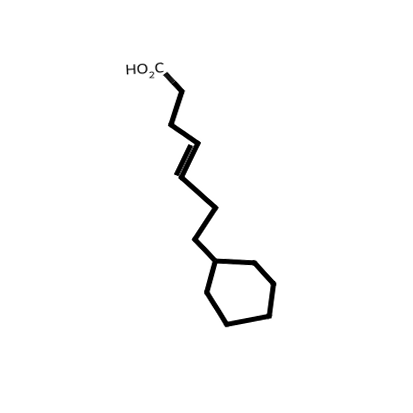 O=C(O)CC/C=C/CCC1CCCCC1